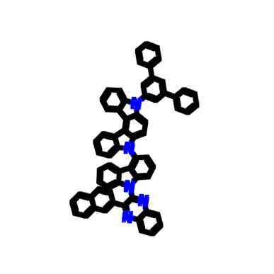 c1ccc(-c2cc(-c3ccccc3)cc(-n3c4ccccc4c4c5c6ccccc6n(-c6cccc7c6c6ccccc6n7-c6nc7ccccc7nc6-c6ccc7ccccc7c6)c5ccc43)c2)cc1